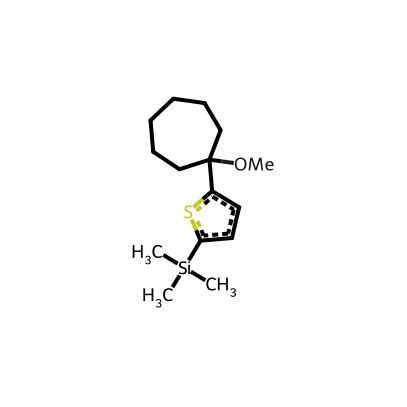 COC1(c2ccc([Si](C)(C)C)s2)CCCCCC1